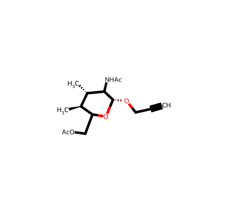 C#CCO[C@@H]1OC(COC(C)=O)[C@@H](C)[C@H](C)C1NC(C)=O